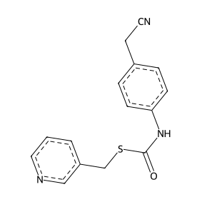 N#CCc1ccc(NC(=O)SCc2cccnc2)cc1